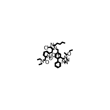 CCCCc1nc(Cl)c(C(O)c2cccc(C(=O)N(CC)CC)[n+]2[O-])n1Cc1ccc(-c2ccccc2)c(-c2nnnn2C(C)OCC)c1